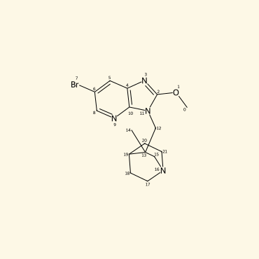 COc1nc2cc(Br)cnc2n1CC1(C)CN2CCC1CC2